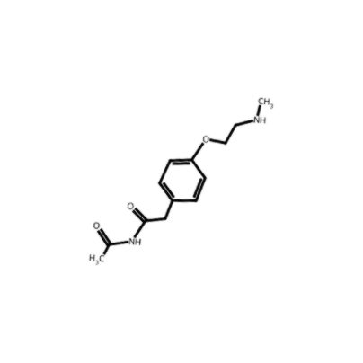 CNCCOc1ccc(CC(=O)NC(C)=O)cc1